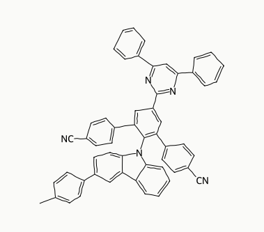 Cc1ccc(-c2ccc3c(c2)c2ccccc2n3-c2c(-c3ccc(C#N)cc3)cc(-c3nc(-c4ccccc4)cc(-c4ccccc4)n3)cc2-c2ccc(C#N)cc2)cc1